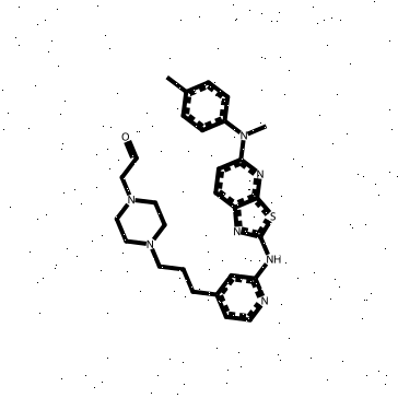 Cc1ccc(N(C)c2ccc3nc(Nc4cc(CCCN5CCN(CC=O)CC5)ccn4)sc3n2)cc1